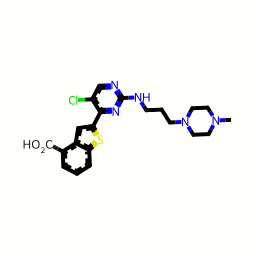 CN1CCN(CCCNc2ncc(Cl)c(-c3cc4c(C(=O)O)cccc4s3)n2)CC1